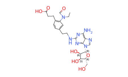 CCN(C=O)c1cc(CCNc2nc(N)c3ncn([C@@H]4O[C@H](CO)[C@@H](O)[C@H]4O)c3n2)ccc1CCC(=O)O